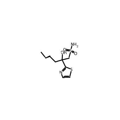 CCCCC(O)(CS(N)(=O)=O)c1nccs1